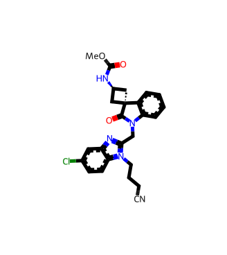 COC(=O)N[C@H]1C[C@@]2(C1)C(=O)N(Cc1nc3cc(Cl)ccc3n1CCCC#N)c1ccccc12